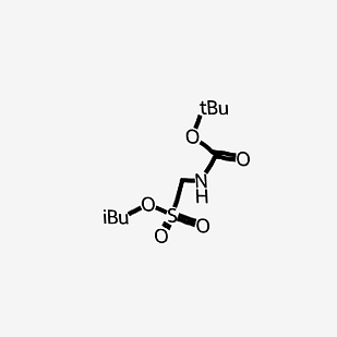 CCC(C)OS(=O)(=O)CNC(=O)OC(C)(C)C